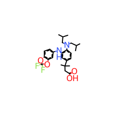 CC(C)CN(CC(C)C)c1ccc(C(C)(C)CC(=O)O)cc1Nc1ccc2c(c1)OC(F)(F)O2